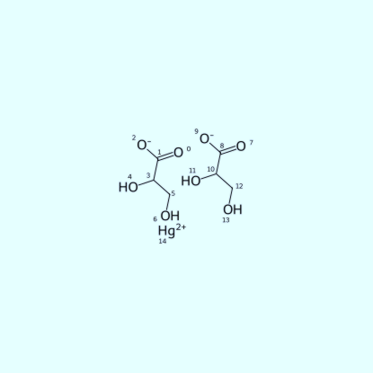 O=C([O-])C(O)CO.O=C([O-])C(O)CO.[Hg+2]